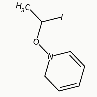 CC(I)ON1C=CC=CC1